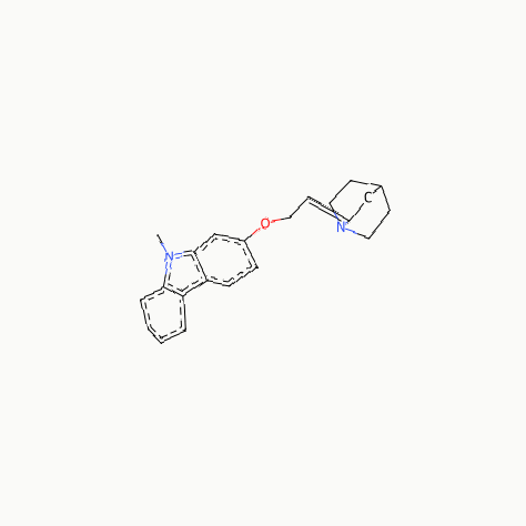 Cn1c2ccccc2c2ccc(OCC=C3CC4CCN3CC4)cc21